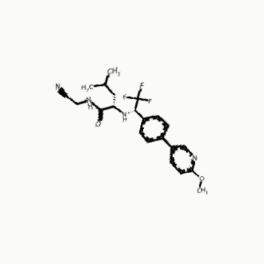 COc1ccc(-c2ccc([C@H](N[C@@H](CC(C)C)C(=O)NCC#N)C(F)(F)F)cc2)cn1